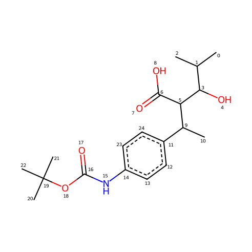 CC(C)C(O)C(C(=O)O)C(C)c1ccc(NC(=O)OC(C)(C)C)cc1